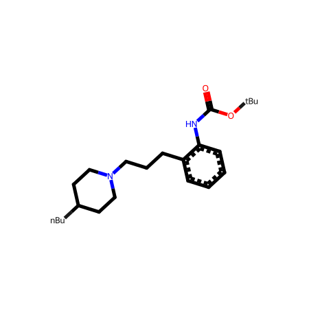 CCCCC1CCN(CCCc2ccccc2NC(=O)OC(C)(C)C)CC1